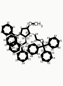 COC1C[C@H](P(c2ccccc2)c2ccccc2)[C@H](CP(c2ccccc2)c2ccccc2)[C@H]1CCOC(c1ccccc1)(c1ccccc1)c1ccccc1